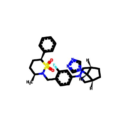 C[C@H]1CC[C@@H](c2ccccc2)S(=O)(=O)N1Cc1ccc(N2C[C@H]3CC[C@@H](C2)[C@H]3n2cnnc2)cc1F